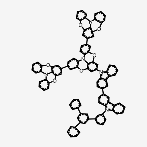 c1ccc(-c2cc(-c3ccccc3)cc(-c3cccc(-n4c5ccccc5c5cc(-c6ccc7c(c6)c6ccccc6n7-c6cc7c8c(c6)Oc6cc(-c9cc%10c%11c(c9)Oc9ccccc9N%11c9ccccc9O%10)ccc6N8c6ccc(-c8cc9c%10c(c8)Oc8ccccc8N%10c8ccccc8O9)cc6O7)ccc54)c3)c2)cc1